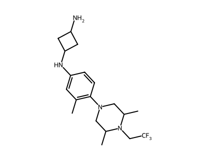 Cc1cc(NC2CC(N)C2)ccc1N1CC(C)N(CC(F)(F)F)C(C)C1